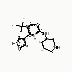 FC(F)(F)c1cnc(NC2CCCNC2)nc1-c1cn[nH]c1